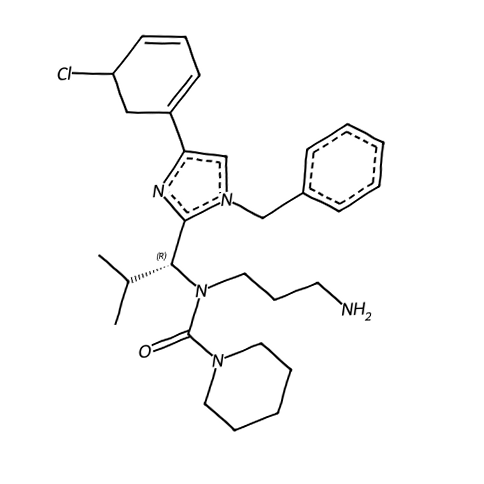 CC(C)[C@H](c1nc(C2=CC=CC(Cl)C2)cn1Cc1ccccc1)N(CCCN)C(=O)N1CCCCC1